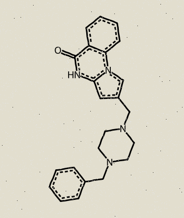 O=c1[nH]c2cc(CN3CCN(Cc4ccccc4)CC3)cn2c2ccccc12